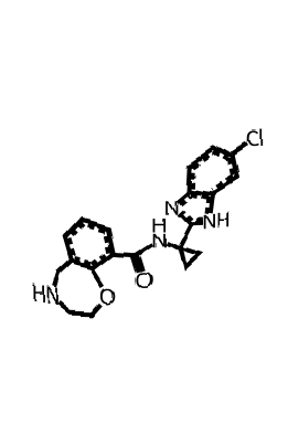 O=C(NC1(c2nc3ccc(Cl)cc3[nH]2)CC1)c1cccc2c1OCCNC2